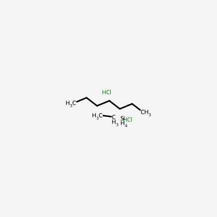 CC.CCCCCCC.Cl.Cl.[SiH4]